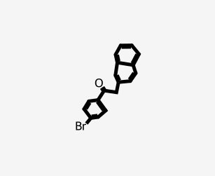 O=C(Cc1ccc2ccccc2c1)c1ccc(Br)cc1